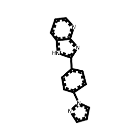 c1cnc2nc(-c3ccc(-n4cccn4)cc3)[nH]c2c1